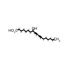 C=CCCCCC#CC#CC(O)CCCCCCC(=O)O